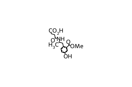 COC(=O)c1cc(O)ccc1C[C@@H](C)NC(=O)CCC(=O)O